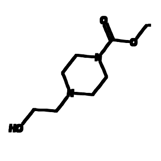 [CH2]OC(=O)N1CCN(CCO)CC1